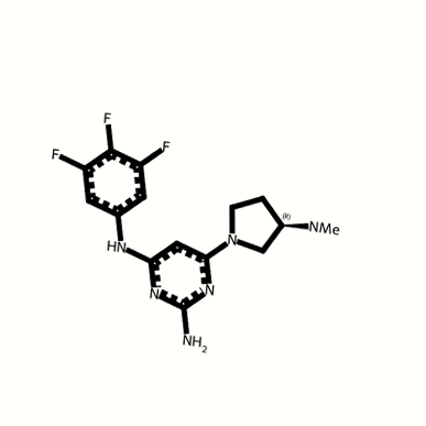 CN[C@@H]1CCN(c2cc(Nc3cc(F)c(F)c(F)c3)nc(N)n2)C1